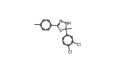 Cc1ccc(C2=NNC(C)(c3ccc(Cl)c(Cl)c3)S2)cc1